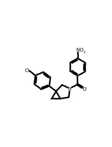 O=C(c1ccc([N+](=O)[O-])cc1)N1CC2CC2(c2ccc(Cl)cc2)C1